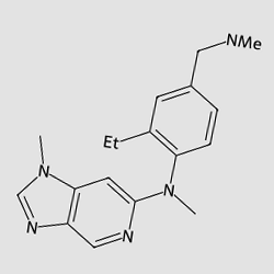 CCc1cc(CNC)ccc1N(C)c1cc2c(cn1)ncn2C